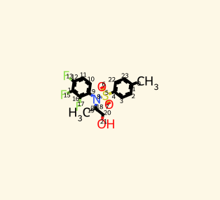 Cc1ccc(S(=O)(=O)N(c2ccc(F)c(F)c2F)[C@@H](C)CO)cc1